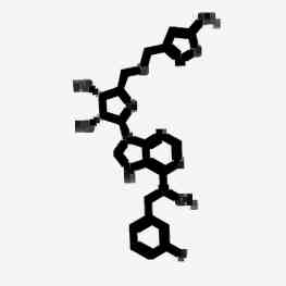 Cc1cc(COC[C@H]2O[C@@H](N3CNc4c(N(C)Cc5cccc(F)c5)ncnc43)[C@H](O)[C@@H]2O)no1